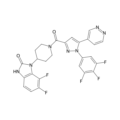 O=C(c1cc(-c2ccnnc2)n(-c2cc(F)c(F)c(F)c2)n1)N1CCC(n2c(=O)[nH]c3ccc(F)c(F)c32)CC1